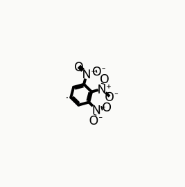 O=[N+]([O-])c1c[c]cc([N+](=O)[O-])c1[N+](=O)[O-]